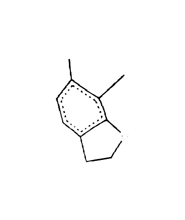 Cc1ccc2c(c1C)OCC2